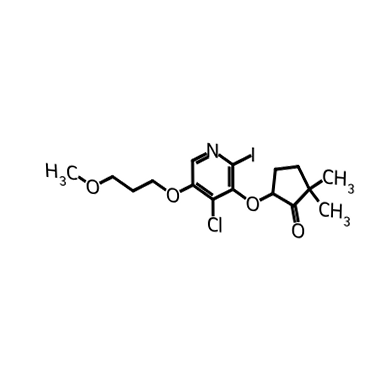 COCCCOc1cnc(I)c(OC2CCC(C)(C)C2=O)c1Cl